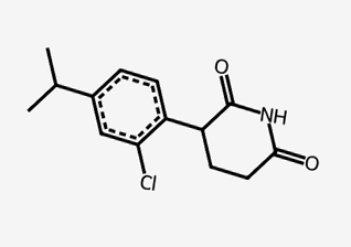 CC(C)c1ccc(C2CCC(=O)NC2=O)c(Cl)c1